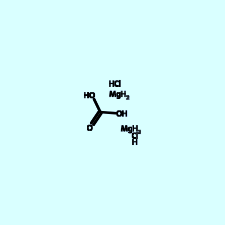 Cl.Cl.O=C(O)O.[MgH2].[MgH2]